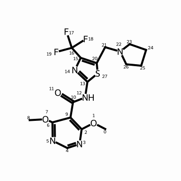 COc1ncnc(OC)c1C(=O)Nc1nc(C(F)(F)F)c(CN2CCCC2)s1